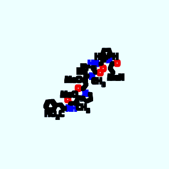 CC[C@H](C)[C@@H]([C@@H](CC(=O)N1CCC[C@H]1[C@H](OC)[C@@H](C)C(=O)N[C@@H](Cc1ccccc1)C(=O)O)OC)N(C)C(=O)[C@@H](NC(=O)[C@@H]1[C@H]2CC[C@@H](C2)N1C(=O)CCNC)C(C)C